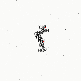 CC(C)C1=C2[C@H]3CC[C@@H]4[C@@]5(C)CC[C@H](OC(=O)[C@H]6C[C@@H](C(=O)O)C6(C)C)C(C)(C)[C@@H]5CC[C@@]4(C)[C@]3(C)CC[C@@]2(CCNCC(C)(C)NC(=O)c2ccccc2Cl)CC1=O